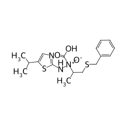 CC(C)c1cnc(N[N+]([O-])(C(=O)O)C(C)CSCc2ccccc2)s1